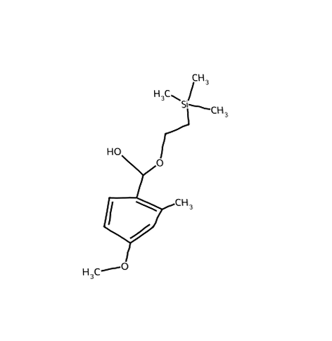 COc1ccc(C(O)OCC[Si](C)(C)C)c(C)c1